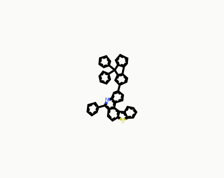 c1ccc(-c2nc3cc(-c4ccc5c(c4)C(c4ccccc4)(c4ccccc4)c4ccccc4-5)ccc3c3c2ccc2sc4ccccc4c23)cc1